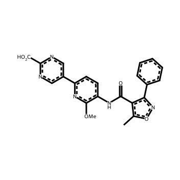 COc1nc(-c2cnc(C(=O)O)nc2)ccc1NC(=O)c1c(-c2ccccc2)noc1C